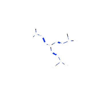 CC(C)(C)N(N=[N][In]([N]=NN(C(C)(C)C)C(C)(C)C)[N]=NN(C(C)(C)C)C(C)(C)C)C(C)(C)C